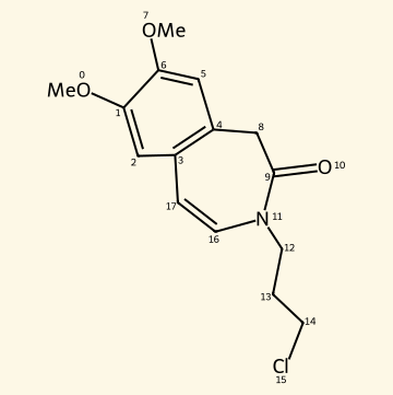 COc1cc2c(cc1OC)CC(=O)N(CCCCl)C=C2